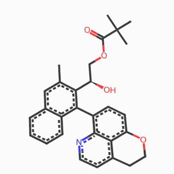 Cc1cc2ccccc2c(-c2ccc3c4c(ccnc24)CCO3)c1[C@H](O)COC(=O)C(C)(C)C